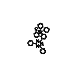 c1ccc(-c2nc(-c3ccccc3)nc(-c3cccc([Si]4(c5ccccc5)c5ccccc5Sc5ccccc54)c3)n2)cc1